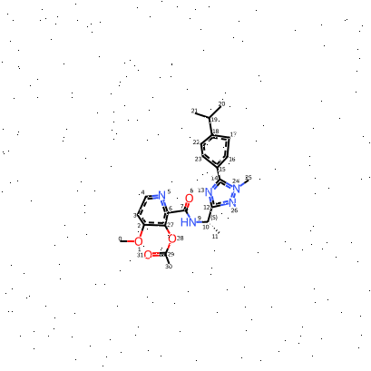 COc1ccnc(C(=O)N[C@@H](C)c2nc(-c3ccc(C(C)C)cc3)n(C)n2)c1OC(C)=O